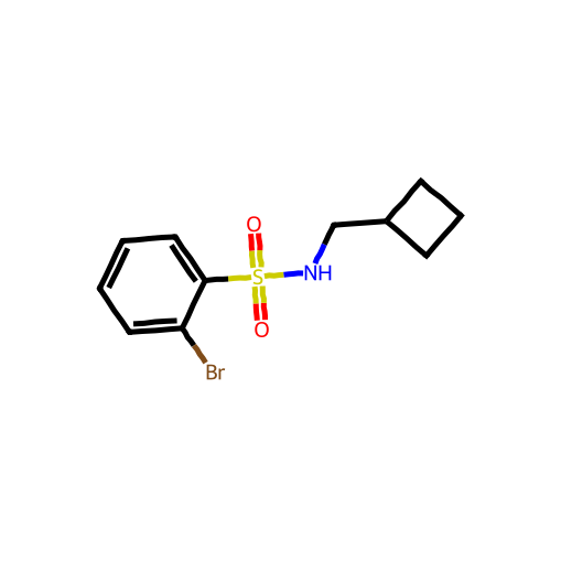 O=S(=O)(NCC1CCC1)c1ccccc1Br